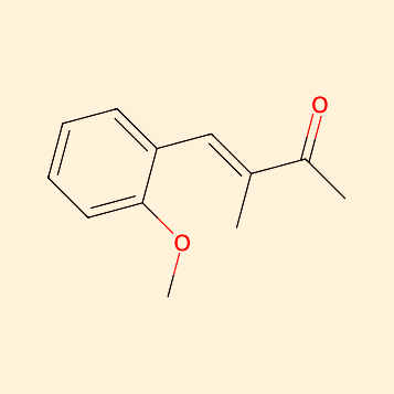 COc1ccccc1C=C(C)C(C)=O